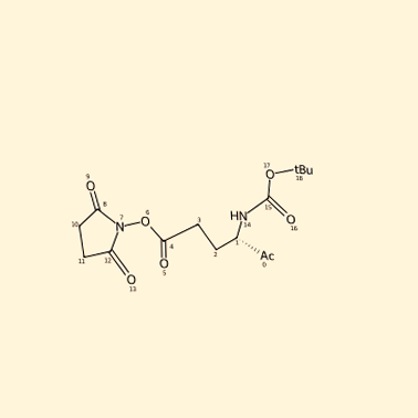 CC(=O)[C@H](CCC(=O)ON1C(=O)CCC1=O)NC(=O)OC(C)(C)C